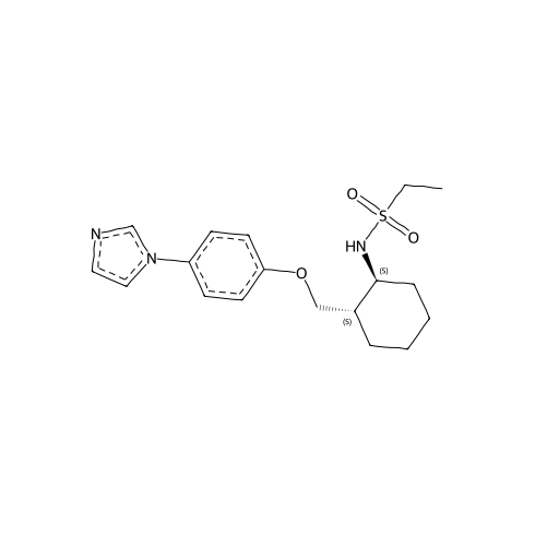 CCS(=O)(=O)N[C@H]1CCCC[C@@H]1COc1ccc(-n2ccnc2)cc1